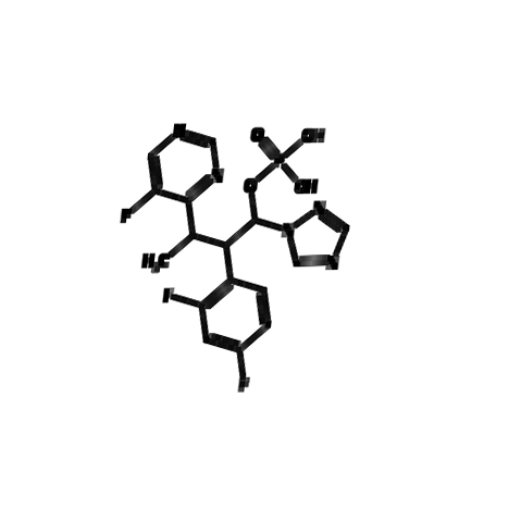 CC(c1ncncc1F)C(c1ccc(F)cc1F)C(OP(=O)(O)O)n1cncn1